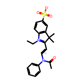 CC[N+]1=C(/C=C/N(C(C)=O)c2ccccc2)C(C)(C)c2cc(S(=O)(=O)[O-])ccc21